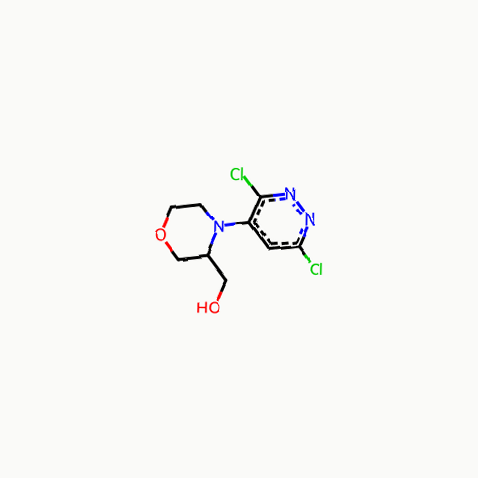 OCC1COCCN1c1cc(Cl)nnc1Cl